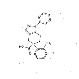 Cc1c(F)cccc1C1(C(=O)O)CCc2c(cnn2-c2ccccc2)C1